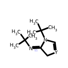 CC(C)(C)/N=C1/[CH2][Y]=[CH]N1C(C)(C)C